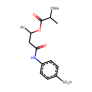 COC(C)C(=O)OC(CC(=O)Nc1ccc(S(=O)(=O)O)cc1)C(C)=O